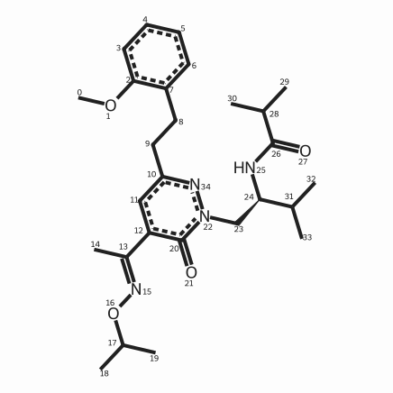 COc1ccccc1CCc1cc(/C(C)=N/OC(C)C)c(=O)n(C[C@@H](NC(=O)C(C)C)C(C)C)n1